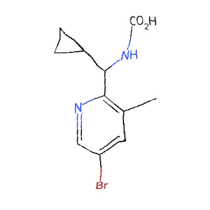 Cc1cc(Br)cnc1C(NC(=O)O)C1CC1